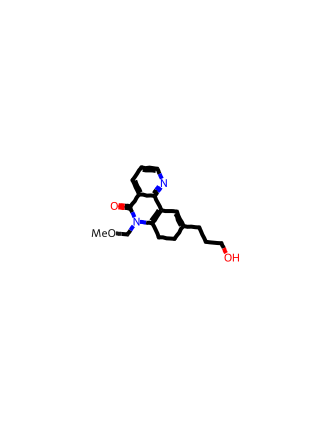 COCn1c2c(c3ncccc3c1=O)C=C(CCCO)CC2